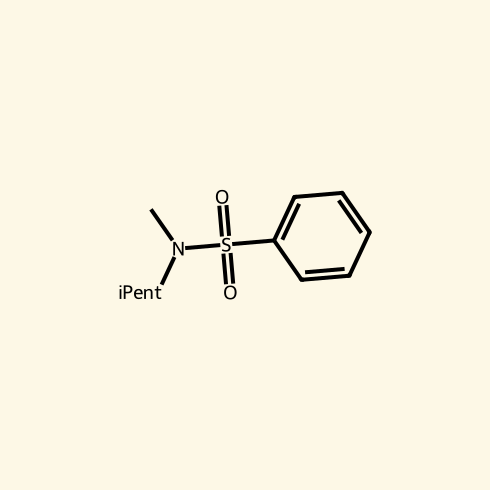 CCCC(C)N(C)S(=O)(=O)c1ccccc1